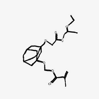 C=C(C)C(=O)OCOC12CC3CC(C1)CC(OCC(=O)OC(C)OCC)(C3)C2